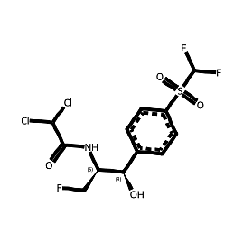 O=C(N[C@H](CF)[C@H](O)c1ccc(S(=O)(=O)C(F)F)cc1)C(Cl)Cl